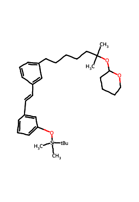 CC(C)(CCCCCc1cccc(C=Cc2cccc(O[Si](C)(C)C(C)(C)C)c2)c1)OC1CCCCO1